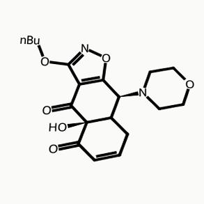 CCCCOc1noc2c1C(=O)[C@@]1(O)C(=O)C=CCC1[C@@H]2N1CCOCC1